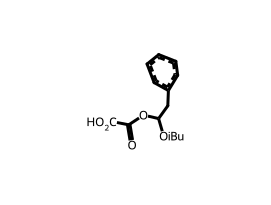 CC(C)COC(Cc1ccccc1)OC(=O)C(=O)O